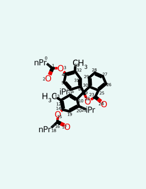 CCCC(=O)Oc1cc(C(C)C)c(C2(c3cc(C)c(OC(=O)CCC)cc3C(C)C)OC(=O)c3ccccc32)cc1C